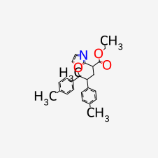 CCOC(=O)C(CC(c1ccc(C)cc1)C(C)c1ccc(C)cc1)c1ncco1